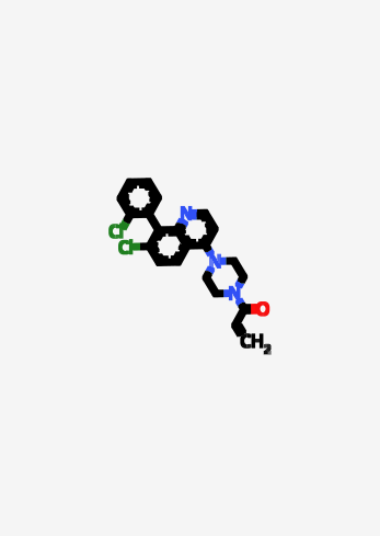 C=CC(=O)N1CCN(c2ccnc3c(-c4ccccc4Cl)c(Cl)ccc23)CC1